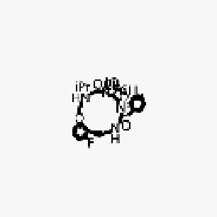 CC(C)[C@@H]1NCCOc2cccc(F)c2C#CCNC(=O)[C@@H](Cc2ccccc2)NC(=O)[C@H](C(C)O)N(C)C1=O